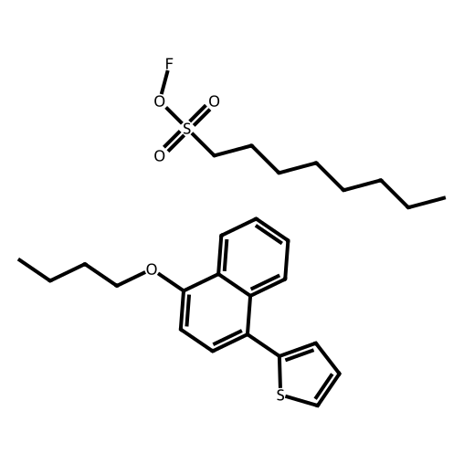 CCCCCCCCS(=O)(=O)OF.CCCCOc1ccc(-c2cccs2)c2ccccc12